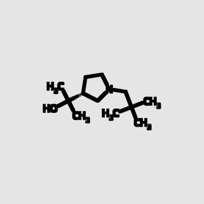 CC(C)(C)CN1CC[C@@H](C(C)(C)O)C1